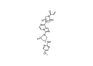 C=CC(=O)N1C[C@@H]2C[C@H]1CN2c1nccn2c(N3C[C@H](F)C[C@@H](Nc4ncc(C(F)(F)F)cn4)C3)ncc12